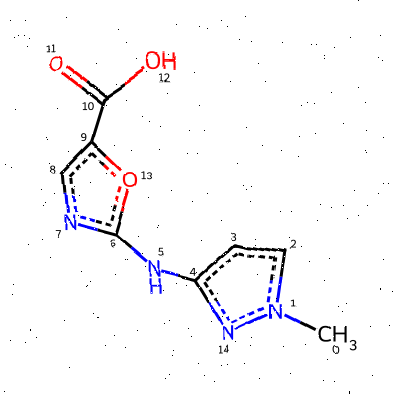 Cn1ccc(Nc2ncc(C(=O)O)o2)n1